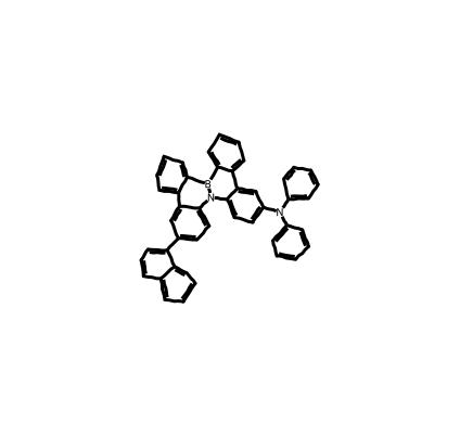 c1ccc(N(c2ccccc2)c2ccc3c(c2)-c2ccccc2B2c4ccccc4-c4cc(-c5cccc6ccccc56)ccc4N23)cc1